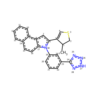 CC1CSC=C1c1cc2c3ccccc3ccc2n1-c1cccc(-c2nn[nH]n2)c1